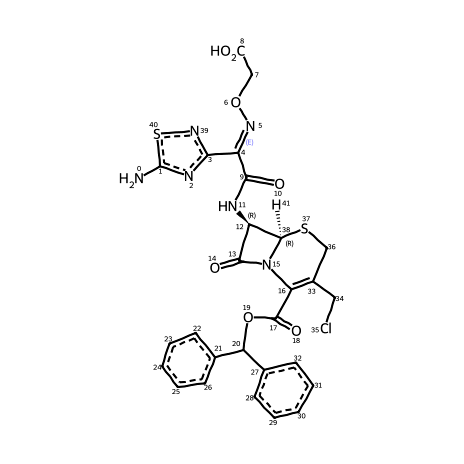 Nc1nc(/C(=N\OCC(=O)O)C(=O)N[C@@H]2C(=O)N3C(C(=O)OC(c4ccccc4)c4ccccc4)=C(CCl)CS[C@H]23)ns1